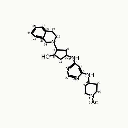 CC(=O)N1CCC(Nc2cc(NC3CC(O)C(N4CCc5ccccc5C4)C3)ncn2)CC1